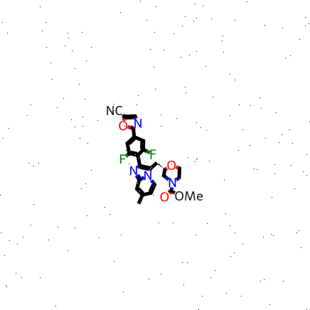 COC(=O)N1CCO[C@@H](Cc2c(-c3c(F)cc(-c4ncc(C#N)o4)cc3F)nc3cc(C)ccn23)C1